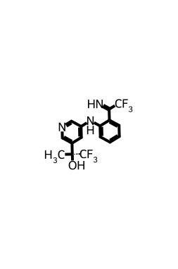 C[C@](O)(c1cncc(Nc2ccccc2C(=N)C(F)(F)F)c1)C(F)(F)F